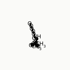 C[C@@H]1COCCN1c1nc(N2CCOC[C@H]2C)c2ccc(-c3cccc(C(=O)NCCOCCOCCOCCOCC=O)c3)nc2n1